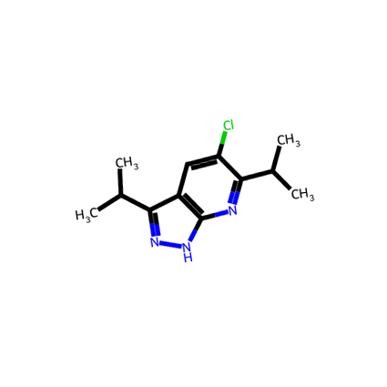 CC(C)c1nc2[nH]nc(C(C)C)c2cc1Cl